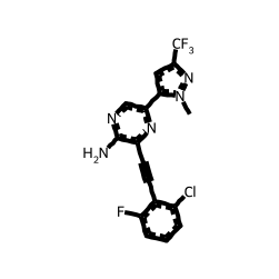 Cn1nc(C(F)(F)F)cc1-c1cnc(N)c(C#Cc2c(F)cccc2Cl)n1